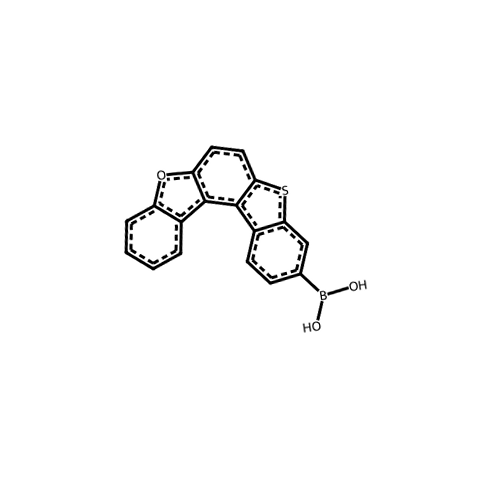 OB(O)c1ccc2c(c1)sc1ccc3oc4ccccc4c3c12